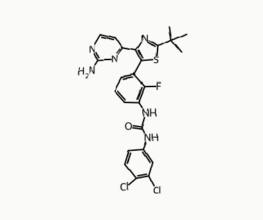 CC(C)(C)c1nc(-c2ccnc(N)n2)c(-c2cccc(NC(=O)Nc3ccc(Cl)c(Cl)c3)c2F)s1